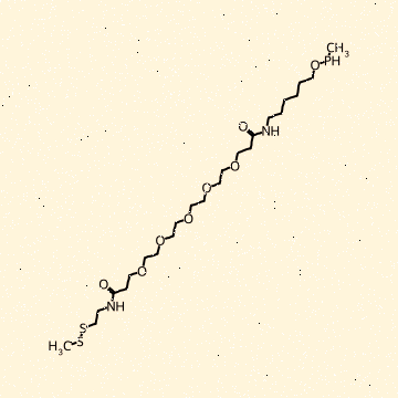 CPOCCCCCCNC(=O)CCOCCOCCOCCOCCOCCC(=O)NCCSSC